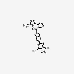 Cc1noc(-c2ccccc2C(=O)N2CC3CN(c4nc(C)c(C)c(C)n4)CC3C2)n1